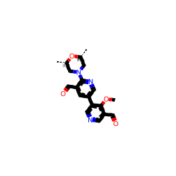 COc1c(C=O)cncc1-c1cnc(N2C[C@@H](C)O[C@@H](C)C2)c(C=O)c1